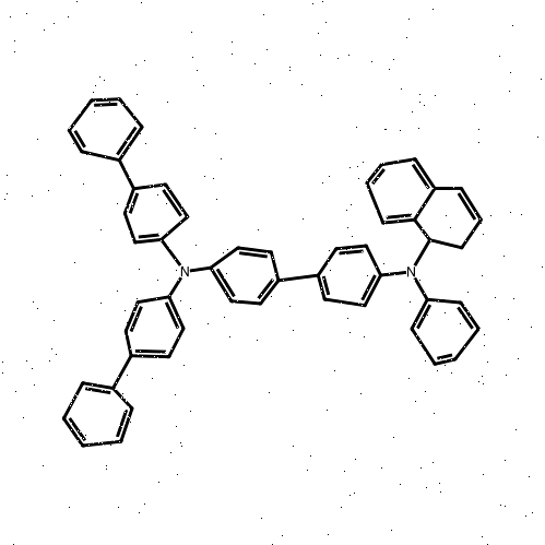 C1=Cc2ccccc2C(N(c2ccccc2)c2ccc(-c3ccc(N(c4ccc(-c5ccccc5)cc4)c4ccc(-c5ccccc5)cc4)cc3)cc2)C1